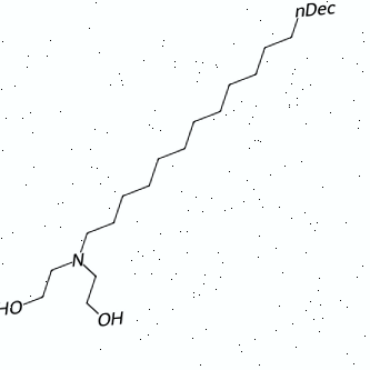 CCCCCCCCCCCCCCCCCCCCCCN(CCO)CCO